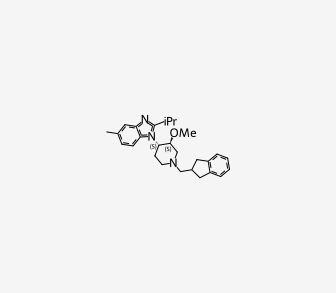 CO[C@H]1CN(CC2Cc3ccccc3C2)CC[C@@H]1n1c(C(C)C)nc2cc(C)ccc21